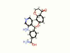 Nc1cnccc1[C@@H](Oc1ccc2c(c1)OCCC2=O)c1ccc(C(N)O)cc1